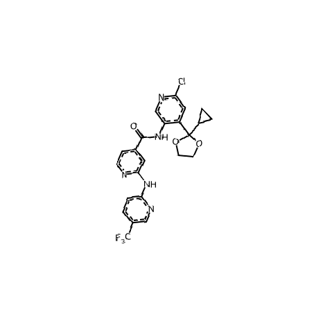 O=C(Nc1cnc(Cl)cc1C1(C2CC2)OCCO1)c1ccnc(Nc2ccc(C(F)(F)F)cn2)c1